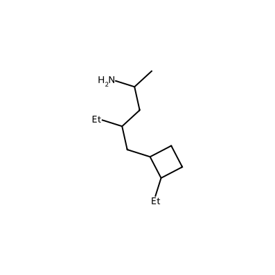 CCC(CC(C)N)CC1CCC1CC